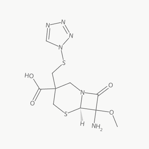 COC1(N)C(=O)N2CC(CSn3cnnn3)(C(=O)O)CS[C@@H]21